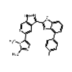 Cc1ncc(-c2cc3c(-c4nc5c(-c6ccc(F)cc6)cccc5[nH]4)n[nH]c3cn2)n1C